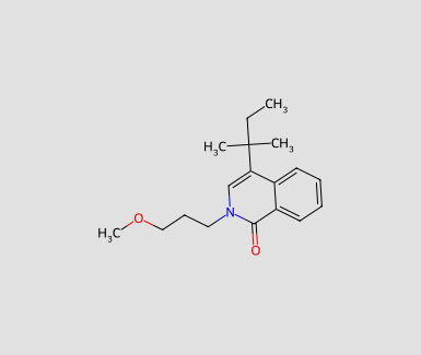 CCC(C)(C)c1cn(CCCOC)c(=O)c2ccccc12